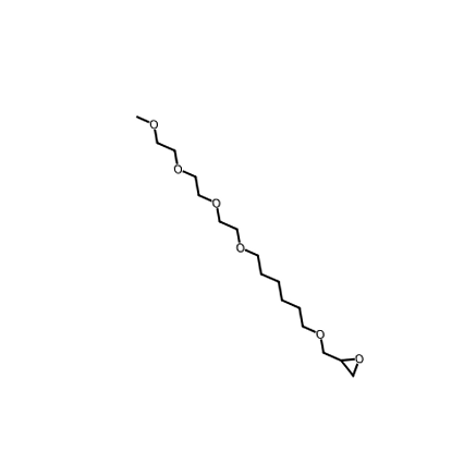 COCCOCCOCCOCCCCCCOCC1CO1